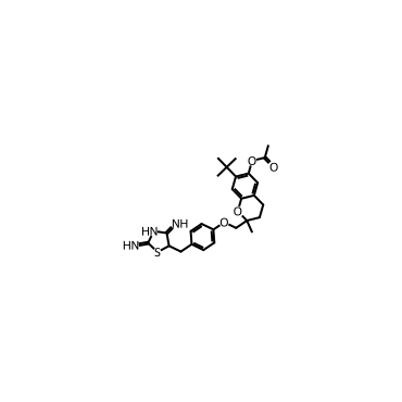 CC(=O)Oc1cc2c(cc1C(C)(C)C)OC(C)(COc1ccc(CC3SC(=N)NC3=N)cc1)CC2